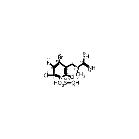 CN(Cc1c(Cl)nc(Cl)c(F)c1Br)C(=N)S.O=S(=O)(O)O